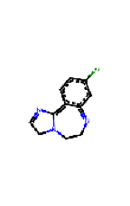 Brc1ccc2c(c1)=NCCN1CC=NC=21